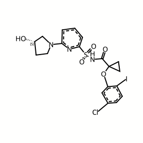 O=C(NS(=O)(=O)c1cccc(N2CC[C@H](O)C2)n1)C1(Oc2cc(Cl)ccc2I)CC1